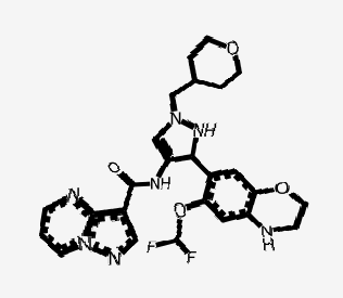 O=C(NC1=CN(CC2CCOCC2)NC1c1cc2c(cc1OC(F)F)NCCO2)c1cnn2cccnc12